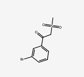 CS(=O)(=O)CC(=O)c1cccc(Br)c1